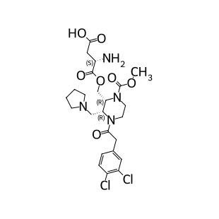 COC(=O)N1CCN(C(=O)Cc2ccc(Cl)c(Cl)c2)[C@H](CN2CCCC2)[C@@H]1COC(=O)[C@@H](N)CC(=O)O